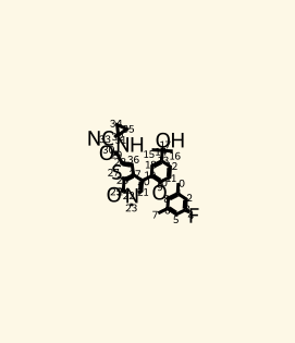 Cc1cc(F)cc(C)c1Oc1ccc(C(C)(C)O)cc1-c1cn(C)c(=O)c2sc(C(=O)NC3(C#N)CC3)cc12